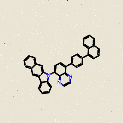 c1ccc2cc3c(cc2c1)c1ccccc1n3-c1ccc(-c2ccc(-c3cccc4ccccc34)cc2)c2nccnc12